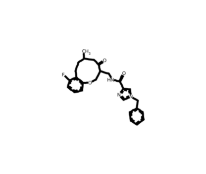 CC1CCc2c(F)cccc2OCC(CNC(=O)c2cn(Cc3ccccc3)cn2)C(=O)C1